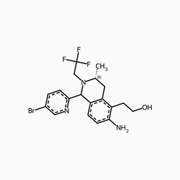 C[C@@H]1Cc2c(ccc(N)c2CCO)C(c2ccc(Br)cn2)N1CC(F)(F)F